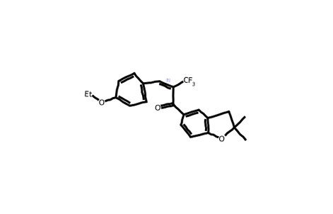 CCOc1ccc(/C=C(\C(=O)c2ccc3c(c2)CC(C)(C)O3)C(F)(F)F)cc1